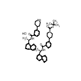 C[C@@H](NC(=O)c1cccc(C2CCN(C(=O)OC(C)(C)C)CC2)c1)c1cccc2ccccc12.C[C@@H](NC(=O)c1cccc(C2CCNCC2)c1)c1cccc2ccccc12.Cl